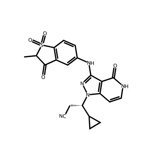 CC1C(=O)c2cc(Nc3nn([C@@H](CC#N)C4CC4)c4cc[nH]c(=O)c34)ccc2S1(=O)=O